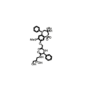 CCCCC1(CC)CN(c2ccccc2)c2cc(SC)c(OCC(=O)NC(C(=O)NC[C@@H](O)CO)c3ccccc3)cc2S(=O)(=O)C1